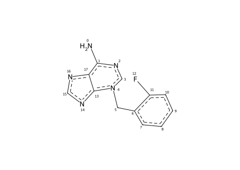 Nc1ncn(Cc2ccccc2F)c2ncnc1-2